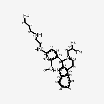 COc1nc(NCCNCCCF)ccc1[C@@H]1c2[nH]c3ccccc3c2CCN1CC(F)F